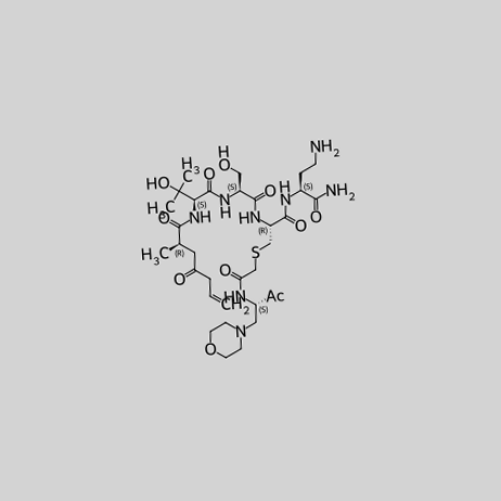 C=CCC(=O)C[C@@H](C)C(=O)N[C@H](C(=O)N[C@@H](CO)C(=O)N[C@@H](CSCC(=O)N[C@@H](CN1CCOCC1)C(C)=O)C(=O)N[C@@H](CCN)C(N)=O)C(C)(C)O